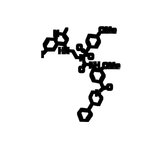 COc1ccc(S(=O)(=O)N(CCNc2cc(C)nc3ccc(I)cc23)C(=O)Nc2ccc(C(=O)N3CCC(c4ccccc4)CC3)cc2OC)cc1